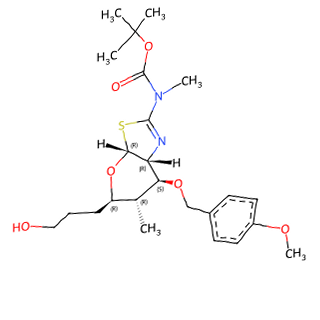 COc1ccc(CO[C@H]2[C@H](C)[C@@H](CCCO)O[C@@H]3SC(N(C)C(=O)OC(C)(C)C)=N[C@H]23)cc1